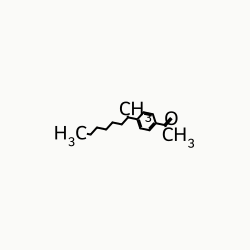 CCCCCCC(C)c1ccc(C(C)=O)cc1